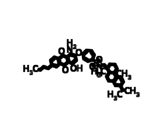 CCCCc1ccc2c(c1)C(=O)c1c(O)cc(OC3=CC=CC(S(=O)(=O)NCC4(C)CCCC5(C)c6ccc(C(C)C)cc6CCC45)C=C3)c(N)c1C2=O